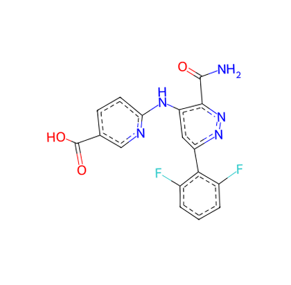 NC(=O)c1nnc(-c2c(F)cccc2F)cc1Nc1ccc(C(=O)O)cn1